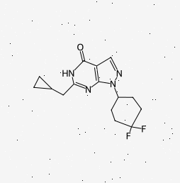 O=c1[nH]c(CC2CC2)nc2c1cnn2C1CCC(F)(F)CC1